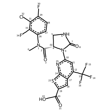 CN(C(=O)[C@@H]1CNC(=O)N1c1cc(C(F)(F)F)c2cc(C(=O)O)sc2n1)c1ccc(F)c(Cl)c1F